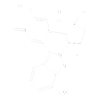 COc1cccc2c3n(nc12)[C@@H]1CCC(C)(C)[C@@H]1n1cc(C(=O)O)c(=O)cc1-3